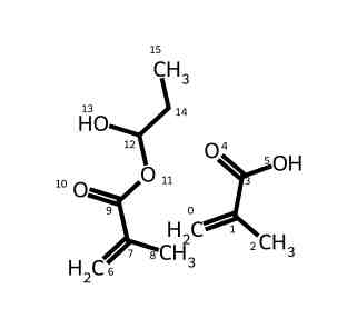 C=C(C)C(=O)O.C=C(C)C(=O)OC(O)CC